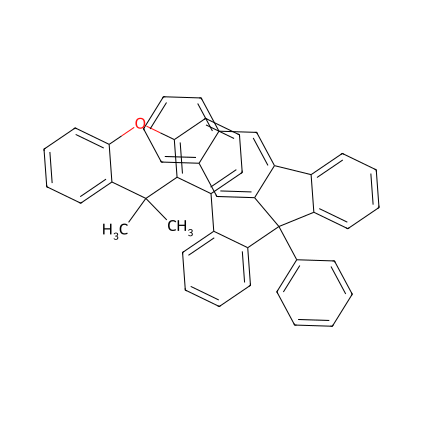 CC1(C)c2ccccc2Oc2cccc(-c3ccccc3C3(c4ccccc4)c4ccccc4-c4cc5ccccc5cc43)c21